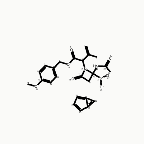 C=C(C)C(C(=O)OCc1ccc(OC)cc1)N1C(=O)CC1(NC(C)=S)[S+]([O-])Cl.c1cc2cc-2c1